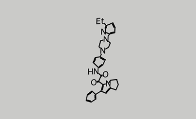 CCc1cccc(N2CCN(c3ccc(NC(=O)C(=O)c4c(-c5ccccc5)cc5n4CCCC5)cc3)CC2)n1